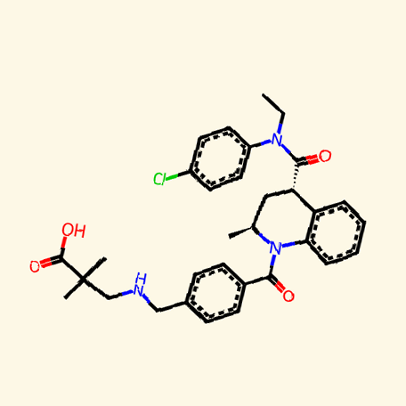 CCN(C(=O)[C@H]1C[C@H](C)N(C(=O)c2ccc(CNCC(C)(C)C(=O)O)cc2)c2ccccc21)c1ccc(Cl)cc1